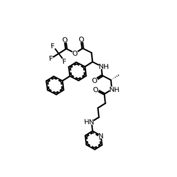 C[C@H](NC(=O)CCCNc1ccccn1)C(=O)NC(CC(=O)OC(=O)C(F)(F)F)c1ccc(-c2ccccc2)cc1